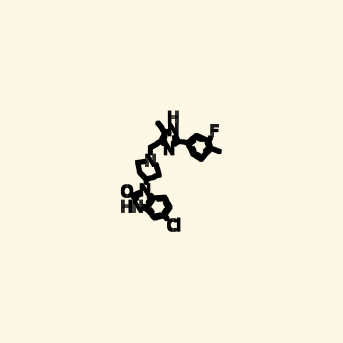 Cc1ccc(-c2nc(CN3CCC(n4c(=O)[nH]c5cc(Cl)ccc54)CC3)c(C)[nH]2)cc1F